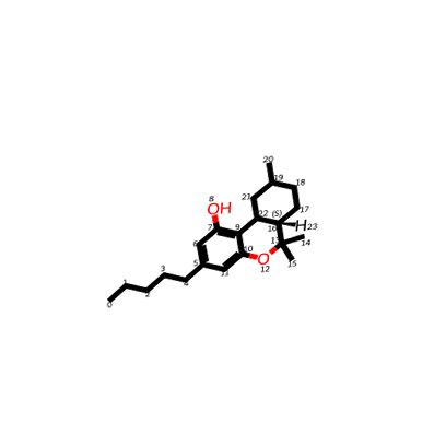 CCCCCc1cc(O)c2c(c1)OC(C)(C)[C@H]1CCC(C)CC21